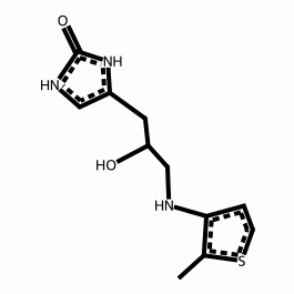 Cc1sccc1NCC(O)Cc1c[nH]c(=O)[nH]1